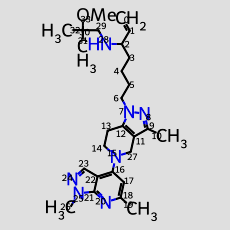 C=CC(CCCCn1nc(C)c2c1CCN(c1cc(C)nc3c1cnn3C)C2)NCC(C)(C)OC